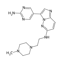 CN1CCN(CCNc2ccc3ncc(-c4cnc(N)nc4)n3n2)CC1